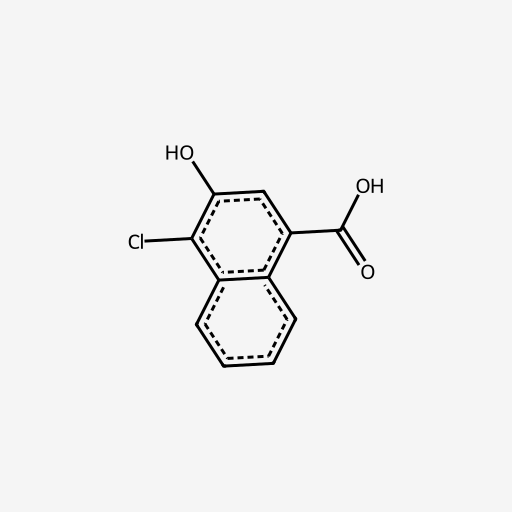 O=C(O)c1cc(O)c(Cl)c2ccccc12